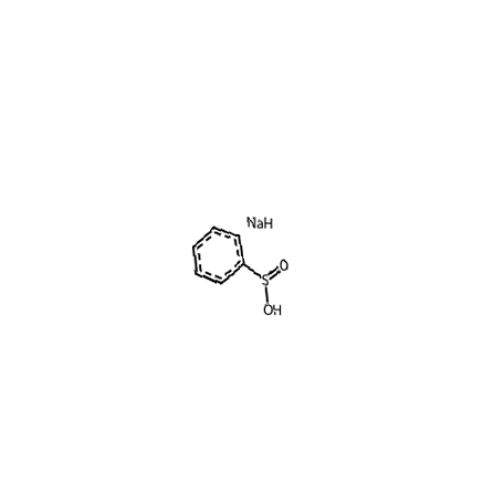 O=S(O)c1ccccc1.[NaH]